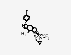 C[C@@H]1C2=C(CC[C@@H]2CN(CC2CC2)S(=O)(=O)CC(F)(F)F)Cc2c1cnn2-c1ccc(F)cc1